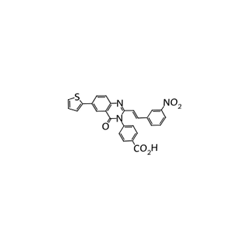 O=C(O)c1ccc(-n2c(/C=C/c3cccc([N+](=O)[O-])c3)nc3ccc(-c4cccs4)cc3c2=O)cc1